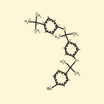 CC(C)(C)c1ccc(C(C)(C)Oc2ccc(C(C)(C)Oc3ccc(C(C)(C)N)cc3)cc2)cc1